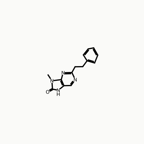 Cn1c(=O)[nH]c2cnc(CCc3ccccc3)nc21